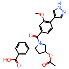 COc1cc(C(=O)N2CC(OC(C)=O)C[C@@H]2c2cccc(C(=O)O)c2)ccc1-c1cn[nH]c1